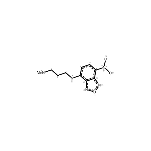 CNCCCNc1ccc([NH+]([O-])O)c2nonc12